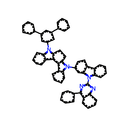 c1ccc(-c2cc(-c3ccccc3)cc(-n3c4ccccc4c4c5c6ccccc6n(-c6ccc7c8ccccc8n(-c8nc(-c9ccccc9)c9ccccc9n8)c7c6)c5ccc43)c2)cc1